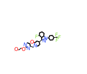 COCCOc1nccc(Cn2ccc(-c3nn(-c4ccc(C(F)(F)F)cc4)c4cccc(F)c34)cc2=O)n1